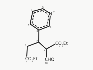 CCOC(=O)CC(c1cccnc1)C(C=O)C(=O)OCC